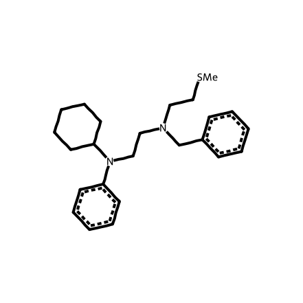 CSCCN(CCN(c1ccccc1)C1CCCCC1)Cc1ccccc1